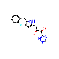 O=C(Cc1ccc(Cc2ccccc2F)[nH]1)C(=O)c1nc[nH]n1